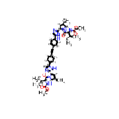 COC(=O)N[C@H](C(=O)N1CC(C)=C[C@H]1c1ncc(-c2ccc(C#Cc3ccc(-c4cnc([C@@H]5C=C(C)CN5C(=O)[C@@H](NC(=O)OC)C(C)C)[nH]4)cc3)cc2)[nH]1)C(C)C